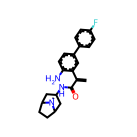 C=C(C(=O)NC1CC2CCC(C1)N2C)c1cc(-c2ccc(F)cc2)ccc1N